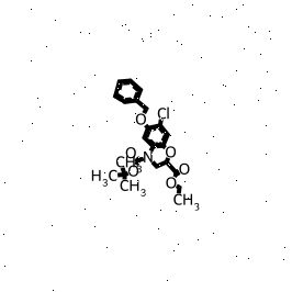 CCOC(=O)C1CN(C(=O)OC(C)(C)C)c2cc(OCc3ccccc3)c(Cl)cc2O1